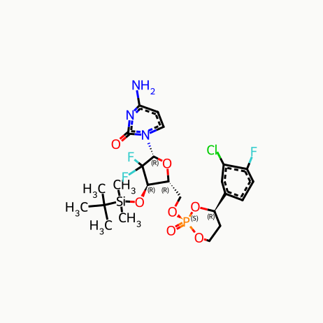 CC(C)(C)[Si](C)(C)O[C@@H]1[C@@H](CO[P@]2(=O)OCC[C@H](c3ccc(F)c(Cl)c3)O2)O[C@@H](n2ccc(N)nc2=O)C1(F)F